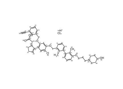 Cc1c(COc2cc(OCc3cncc(C#N)c3)c(C3=NCCN3CC(=O)O)cc2Cl)cccc1-c1cccc(OCCCN2CCC(O)CC2)c1C.[Cl-].[H+]